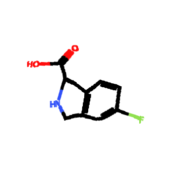 O=C(O)C1NCc2cc(F)ccc21